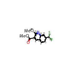 COC(=O)c1cc2ccc(C(F)F)cc2nc1OC